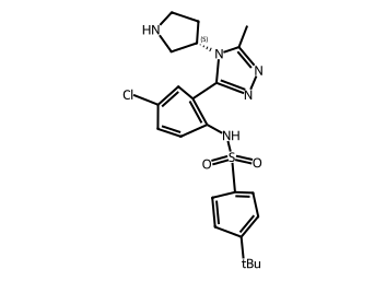 Cc1nnc(-c2cc(Cl)ccc2NS(=O)(=O)c2ccc(C(C)(C)C)cc2)n1[C@H]1CCNC1